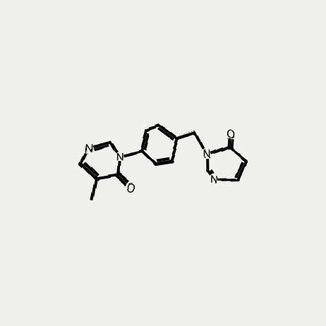 Cc1cncn(-c2ccc(Cn3cnccc3=O)cc2)c1=O